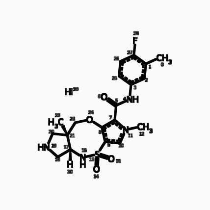 Cc1cc(NC(=O)c2c3c(cn2C)S(=O)(=O)N[C@@H]2CNC[C@]2(C)CO3)ccc1F.I